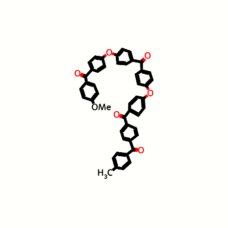 COc1ccc(C(=O)c2ccc(Oc3ccc(C(=O)c4ccc(Oc5ccc(C(=O)c6ccc(C(=O)c7ccc(C)cc7)cc6)cc5)cc4)cc3)cc2)cc1